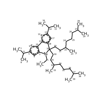 CCN1c2cc(C(C)C)sc2-c2sc(C(C)C)cc2C1(CCC(C)CCCC(C)C)CCC(C)CCCC(C)C